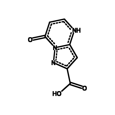 O=C(O)c1cc2[nH]ccc(=O)n2n1